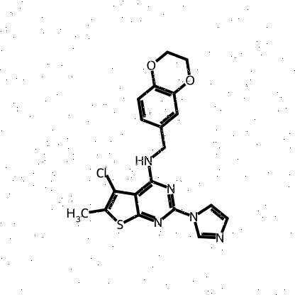 Cc1sc2nc(-n3ccnc3)nc(NCc3ccc4c(c3)OCCO4)c2c1Cl